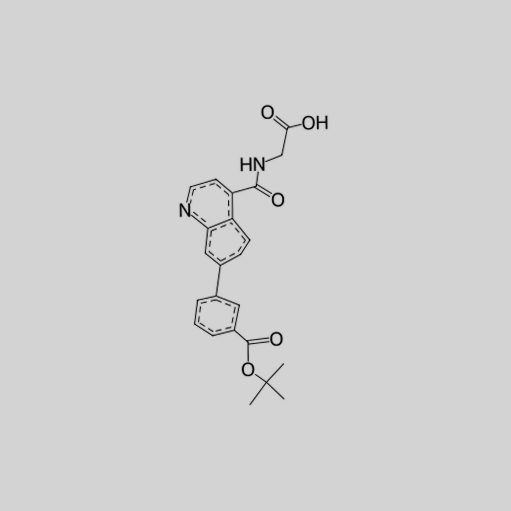 CC(C)(C)OC(=O)c1cccc(-c2ccc3c(C(=O)NCC(=O)O)ccnc3c2)c1